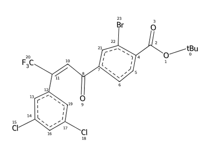 CC(C)(C)OC(=O)c1ccc(C(=O)/C=C(\c2cc(Cl)cc(Cl)c2)C(F)(F)F)cc1Br